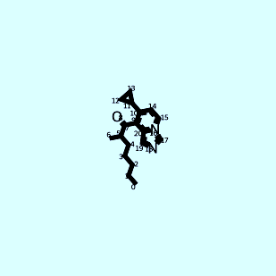 CCCCCC(C)C(=O)c1c(C2CC2)ccn2cncc12